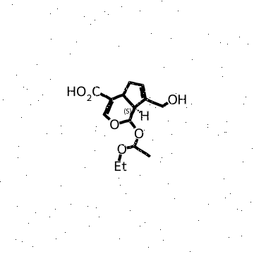 CCOC(C)OC1OC=C(C(=O)O)C2CC=C(CO)[C@@H]12